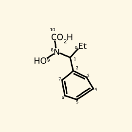 CCC(c1ccccc1)N(O)C(=O)O